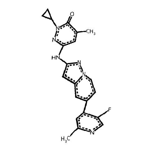 Cc1cc(-c2ccn3nc(Nc4cc(C)c(=O)n(C5CC5)n4)cc3c2)c(F)cn1